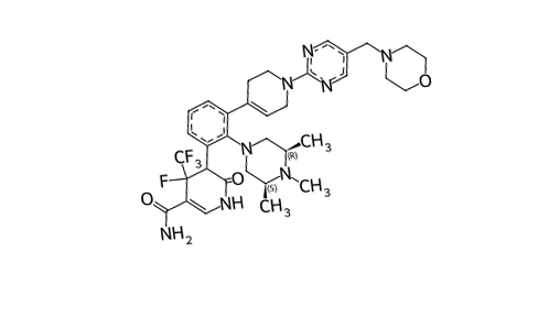 C[C@@H]1CN(c2c(C3=CCN(c4ncc(CN5CCOCC5)cn4)CC3)cccc2C2C(=O)NC=C(C(N)=O)C2(F)C(F)(F)F)C[C@H](C)N1C